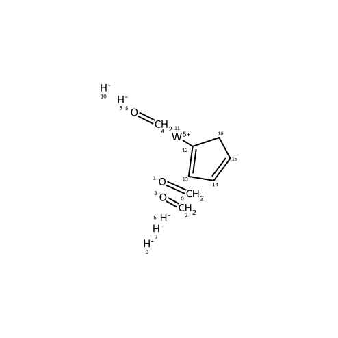 C=O.C=O.C=O.[H-].[H-].[H-].[H-].[H-].[W+5][C]1=CC=CC1